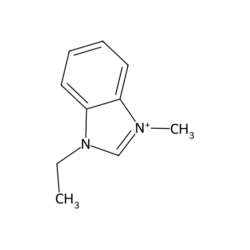 CCn1c[n+](C)c2ccccc21